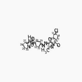 CC1=NN(C(=O)c2ccc(Cl)cc2)C(=O)C1/N=N/c1ccc(S(=O)(=O)Nc2ccccn2)cc1